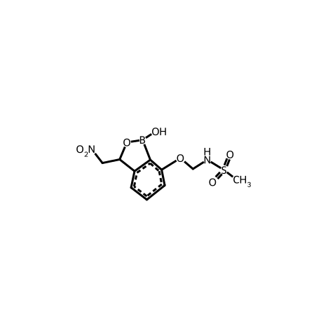 CS(=O)(=O)NCOc1cccc2c1B(O)OC2C[N+](=O)[O-]